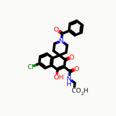 O=C(O)CNC(=O)C1=C(O)c2cc(Cl)ccc2C2(CCN(C(=O)c3ccccc3)CC2)C1=O